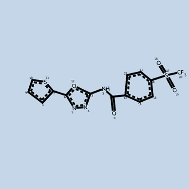 O=C(Nc1nnc(-c2cccs2)o1)c1ccc(S(=O)(=O)C(F)(F)F)cc1